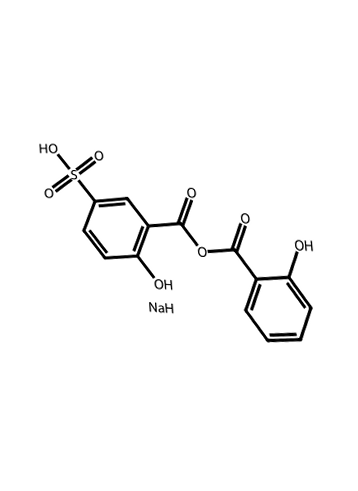 O=C(OC(=O)c1cc(S(=O)(=O)O)ccc1O)c1ccccc1O.[NaH]